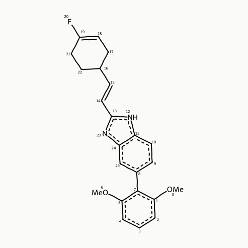 COc1cccc(OC)c1-c1ccc2[nH]c(C=CC3CC=C(F)CC3)nc2c1